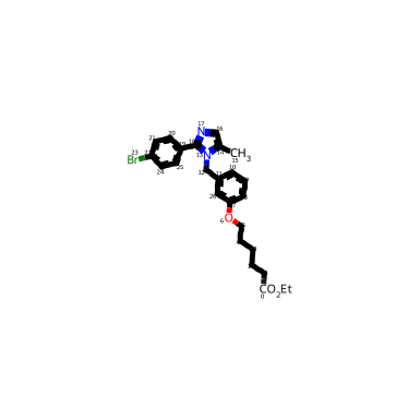 CCOC(=O)CCCCCOc1cccc(Cn2c(C)cnc2-c2ccc(Br)cc2)c1